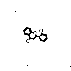 O=C1C[C@H](C2CC=CC=C2Cl)Oc2ccccc21